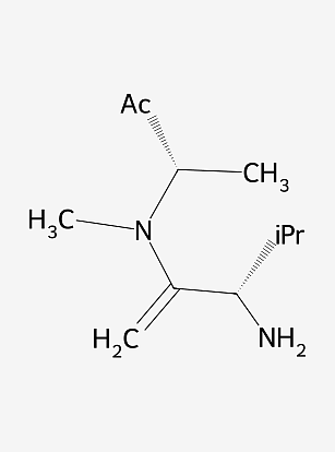 C=C([C@@H](N)C(C)C)N(C)[C@@H](C)C(C)=O